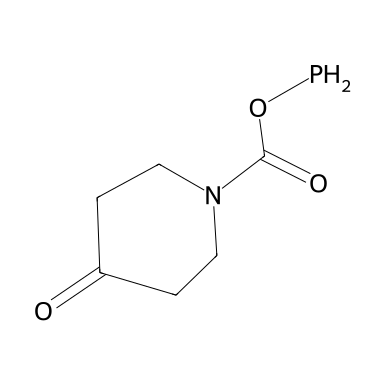 O=C1CCN(C(=O)OP)CC1